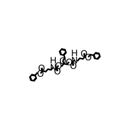 O=C(CCCNC(=O)OCC(COC(=O)NCCCC(=O)OCc1ccccc1)OCc1ccccc1)OCc1ccccc1